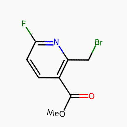 COC(=O)c1ccc(F)nc1CBr